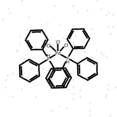 [Cl][Pd]([Cl])([Cl])([PH](c1ccccc1)(c1ccccc1)c1ccccc1)[PH](c1ccccc1)(c1ccccc1)c1ccccc1